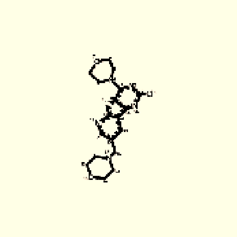 Clc1nc(N2CCOCC2)c2oc3ncc(CN4CCOCC4)cc3c2n1